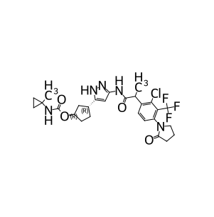 CC(C(=O)Nc1cc([C@@H]2CC[C@@H](OC(=O)NC3(C)CC3)C2)[nH]n1)c1ccc(N2CCCC2=O)c(C(F)(F)F)c1Cl